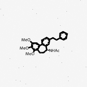 COc1cc2c(c(OC)c1OC)CC[C@H](NC(C)=O)c1cc(CCc3ccccc3)ccc1-2